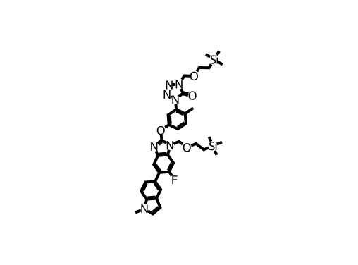 Cc1ccc(Oc2nc3cc(-c4ccc5c(ccn5C)c4)c(F)cc3n2COCC[Si](C)(C)C)cc1-n1nnn(COCC[Si](C)(C)C)c1=O